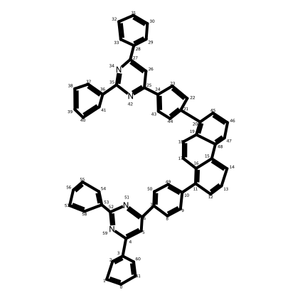 c1ccc(-c2cc(-c3ccc(-c4cccc5c4ccc4c(-c6ccc(-c7cc(-c8ccccc8)nc(-c8ccccc8)n7)cc6)cccc45)cc3)nc(-c3ccccc3)n2)cc1